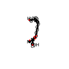 CC(C)(C)OC(=O)CCC(C(N)=O)N1Cc2cc(OCCOCCOCCOCCOc3ccc(-n4cc(-c5ccc(Cl)c(O)c5)c(-c5ccncc5)n4)cc3)ccc2C1=O